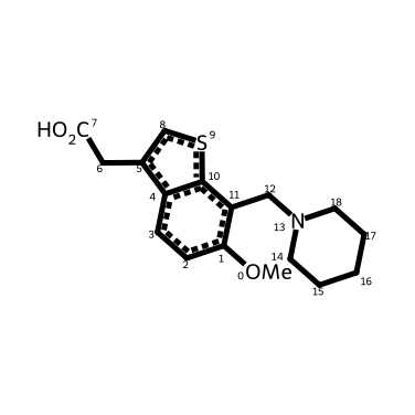 COc1ccc2c(CC(=O)O)csc2c1CN1CCCCC1